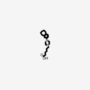 O=C(O)CCCCCN1CCN(c2ccc3c(c2)CCCCC3)CC1